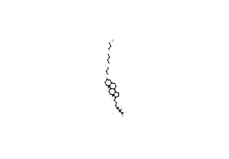 BC(B)(CCCC1CCC2C3CCC4CC(NCCCNCCCCNCCCN)CCC4(C)C3CCC12C)C(B)(C)C(=O)O